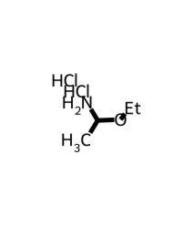 CCOC(C)N.Cl.Cl